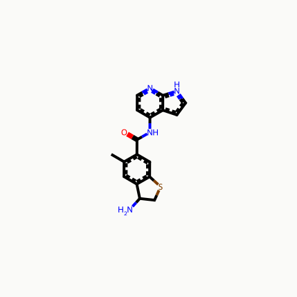 Cc1cc2c(cc1C(=O)Nc1ccnc3[nH]ccc13)SCC2N